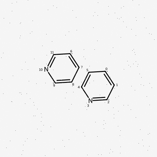 [c]1c[c]ncc1.[c]1cc[c]nc1